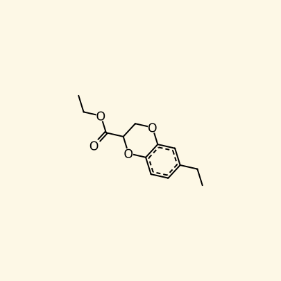 CCOC(=O)C1COc2cc(CC)ccc2O1